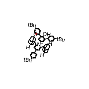 CC(C)(C)c1ccc(-c2cc(C34CC5C[C@H](C3)C[C@H](C5)C4)[n+](-c3cc(-c4ccc(C(C)(C)C)cc4)c(O)c(-c4ccc(C(C)(C)C)cc4)c3)c(C34CC5C[C@H](C3)C[C@H](C5)C4)c2)cc1